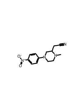 CN1CCN(c2ccc([N+](=O)[O-])cc2)CC1CC#N